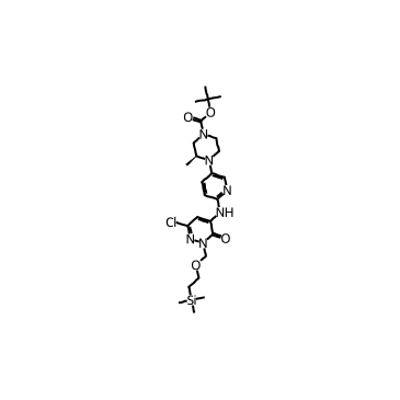 C[C@H]1CN(C(=O)OC(C)(C)C)CCN1c1ccc(Nc2cc(Cl)nn(COCC[Si](C)(C)C)c2=O)nc1